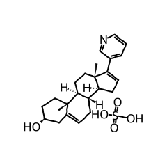 C[C@]12CC[C@H](O)CC1=CC[C@@H]1[C@@H]2CC[C@]2(C)C(c3cccnc3)=CC[C@@H]12.O=S(=O)(O)O